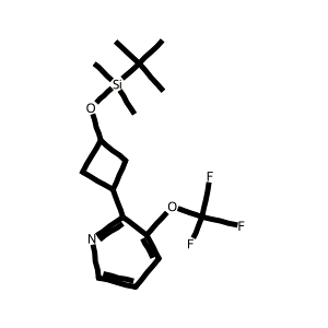 CC(C)(C)[Si](C)(C)OC1CC(c2ncccc2OC(F)(F)F)C1